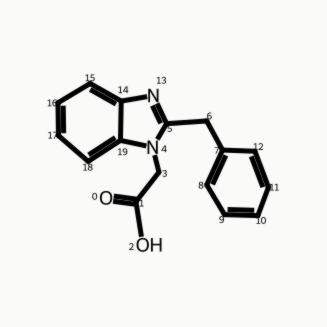 O=C(O)Cn1c(Cc2ccccc2)nc2ccccc21